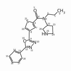 CCCN(C(=O)c1cc(-c2nnc(-c3ccccc3)o2)cs1)C1CCNC1